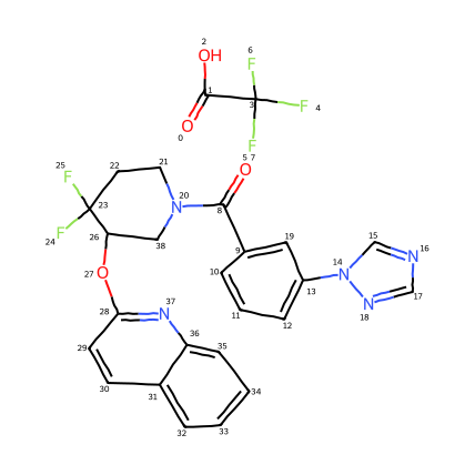 O=C(O)C(F)(F)F.O=C(c1cccc(-n2cncn2)c1)N1CCC(F)(F)C(Oc2ccc3ccccc3n2)C1